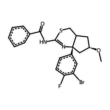 CO[C@@H]1CC2CSC(NC(=O)c3ccccc3)=N[C@@]2(c2ccc(F)c(Br)c2)C1